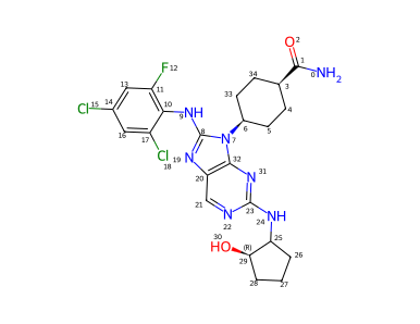 NC(=O)[C@H]1CC[C@@H](n2c(Nc3c(F)cc(Cl)cc3Cl)nc3cnc(NC4CCC[C@H]4O)nc32)CC1